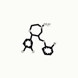 O=C(O)N1CCOC(c2ccc(Cl)c(Cl)c2)C(CSc2ccccc2Br)C1